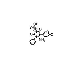 C[N+]1(NC(=O)O)C(=O)C(c2ccc(=O)oc2)=C(N)N(c2ccccc2)C1=O